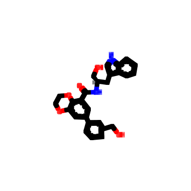 O=C(N[C@@H](CO)Cc1c[nH]c2ccccc12)c1cc(-c2cccc(CO)c2)cc2c1OCCO2